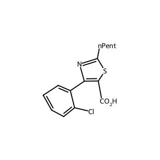 CCCCCc1nc(-c2ccccc2Cl)c(C(=O)O)s1